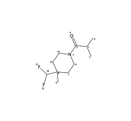 CC(C)C(=O)N1CCC(C)(C(F)F)CC1